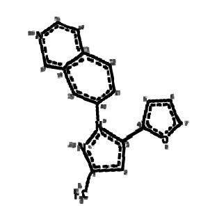 FC(F)(F)c1cc(-c2ccco2)n(-c2ccc3ccncc3c2)n1